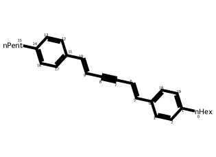 CCCCCCc1ccc(/C=C/C#C/C=C/c2ccc(CCCCC)cc2)cc1